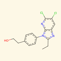 CCc1nc2cc(Cl)c(Cl)nc2n1-c1ccc(CCO)cc1